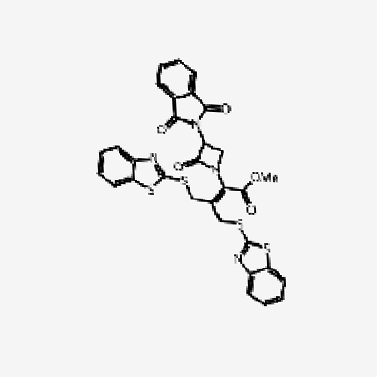 COC(=O)C(=C(CSc1nc2ccccc2s1)CSc1nc2ccccc2s1)N1CC(N2C(=O)c3ccccc3C2=O)C1=O